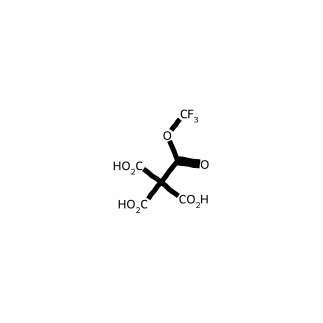 O=C(O)C(C(=O)O)(C(=O)O)C(=O)OC(F)(F)F